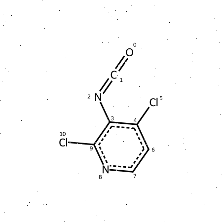 O=C=Nc1c(Cl)ccnc1Cl